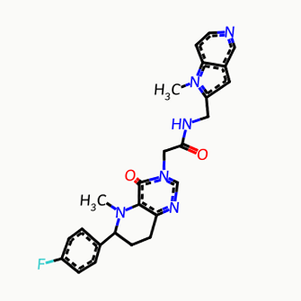 CN1c2c(ncn(CC(=O)NCc3cc4cnccc4n3C)c2=O)CCC1c1ccc(F)cc1